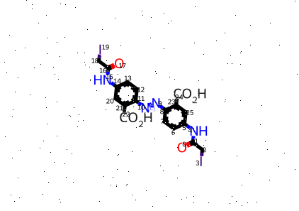 O=C(CI)Nc1ccc(/N=N/c2ccc(NC(=O)CI)cc2C(=O)O)c(C(=O)O)c1